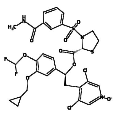 CNC(=O)c1cccc(S(=O)(=O)N2CCS[C@@H]2C(=O)O[C@@H](Cc2c(Cl)c[n+]([O-])cc2Cl)c2ccc(OC(F)F)c(OCC3CC3)c2)c1